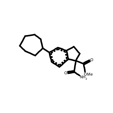 COC(=O)C1(C(N)=O)CCc2cc(C3CCCCCC3)ccc21